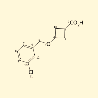 O=C(O)C1CC(OCc2cccc(Cl)c2)C1